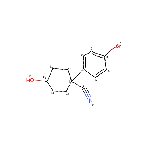 N#CC1(c2ccc(Br)cc2)CCC(O)CC1